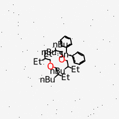 CCCCC(CC)COCC(CC)CCCC.CCCCC(CC)COCC(CC)CCCC.c1cc[c]([Sn][c]2ccccc2)cc1